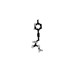 Cc1ccc(C#CCNC(=O)OC(C)(C)C)cn1